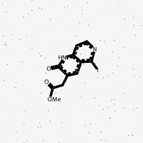 COC(=O)Cc1cc2c(I)nccc2[nH]c1=O